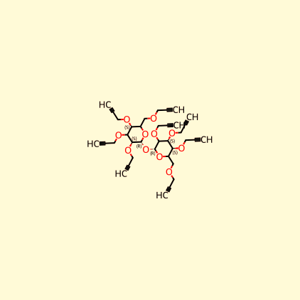 C#CCOCC1O[C@H](O[C@H]2OC(COCC#C)[C@H](OCC#C)[C@H](OCC#C)C2OCC#C)[C@@H](OCC#C)C(OCC#C)[C@H]1OCC#C